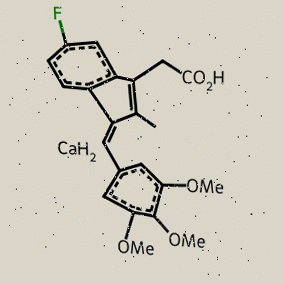 COc1cc(C=C2C(C)=C(CC(=O)O)c3cc(F)ccc32)cc(OC)c1OC.[CaH2]